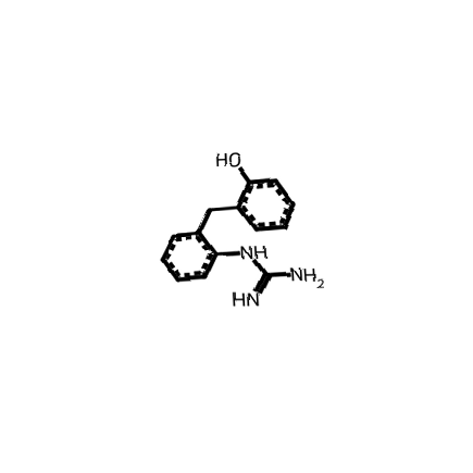 N=C(N)Nc1ccccc1Cc1ccccc1O